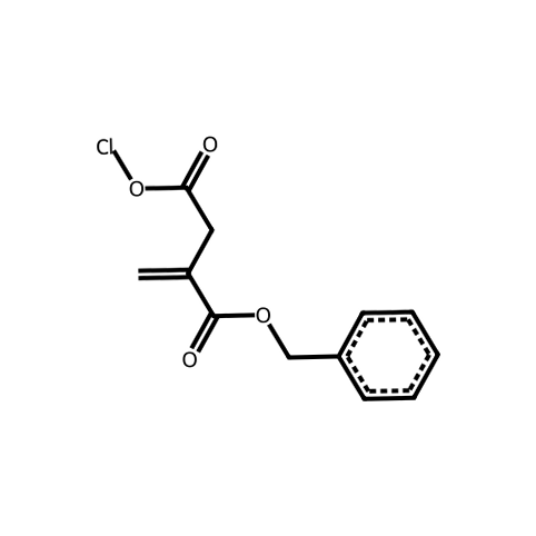 C=C(CC(=O)OCl)C(=O)OCc1ccccc1